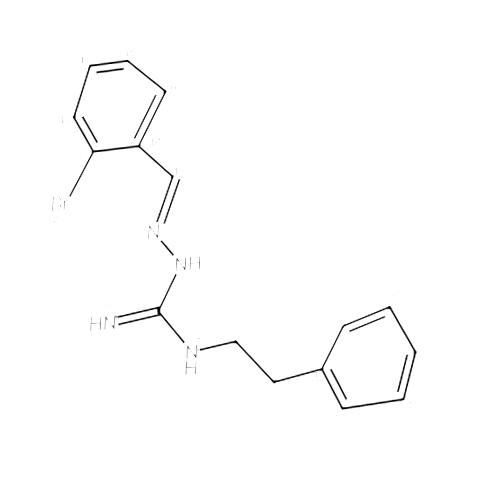 N=C(NCCc1ccccc1)NN=Cc1ccccc1Br